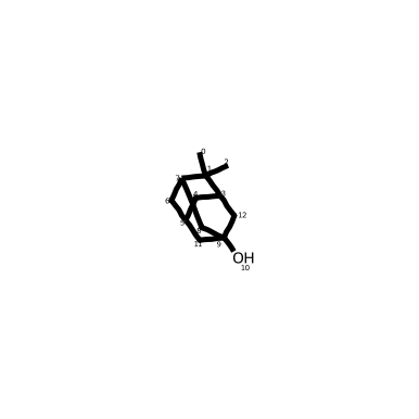 CC1(C)C2CC3CC1CC(O)(C3)C2